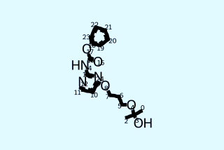 CC(C)(O)OCCCOc1ccnc(NC(=O)Oc2ccccc2)n1